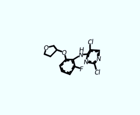 Fc1cccc(OC2CCOC2)c1Nc1nc(Cl)ncc1Cl